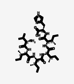 CC[C@H](C)[C@H](NC(=O)[C@@H](N)C(C)C)C(=O)N[C@H](C(=O)N[C@H](C(=O)N[C@H](C(=O)N[C@@H](Cc1c[nH]cn1)C(=O)O)[C@@H](C)CC)[C@@H](C)CC)[C@@H](C)CC